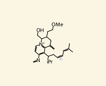 C=Nc1cc[n+]2c(c1C(C/C=C\C=C(C)C)C(C)C)C(=C)CC(CCOC)C2CO